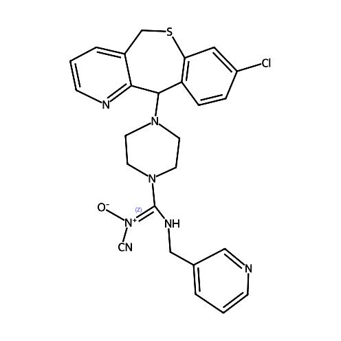 N#C/[N+]([O-])=C(\NCc1cccnc1)N1CCN(C2c3ccc(Cl)cc3SCc3cccnc32)CC1